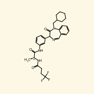 C[C@H](NC(=O)CCC(F)(F)F)C(=O)Nc1cccc(C2N=Cc3ccccc3N(CC3CCCCC3)C2=O)c1